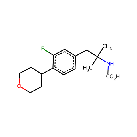 CC(C)(Cc1ccc(C2CCOCC2)c(F)c1)NC(=O)O